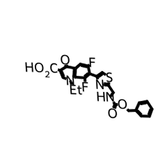 CCn1cc(C(=O)O)c(=O)c2cc(F)c(-c3csc(CNC(=O)OCc4ccccc4)n3)c(F)c21